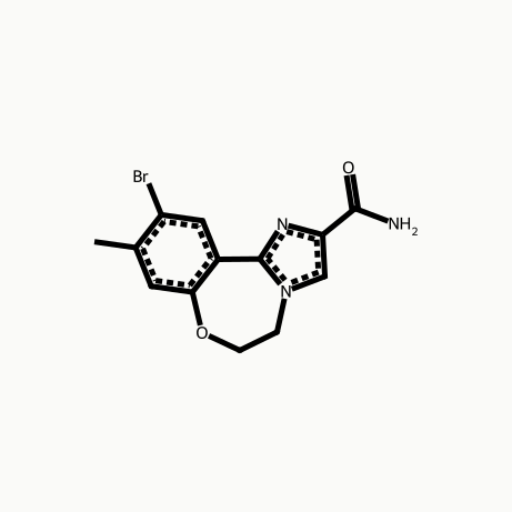 Cc1cc2c(cc1Br)-c1nc(C(N)=O)cn1CCO2